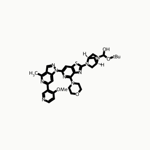 COc1ccncc1-c1cc2c(cnn2-c2cc3sc(N4C[C@H]5C[C@@H]4CN5C(O)OC(C)(C)C)nc3c(N3CCOCC3)n2)c(C)n1